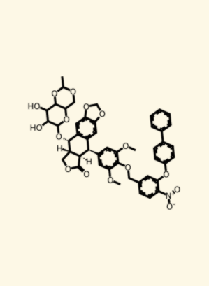 COc1cc([C@@H]2c3cc4c(cc3[C@@H](OC3OC5COC(C)OC5C(O)C3O)[C@H]3COC(=O)[C@H]23)OCO4)cc(OC)c1OCc1ccc([N+](=O)[O-])c(Oc2ccc(-c3ccccc3)cc2)c1